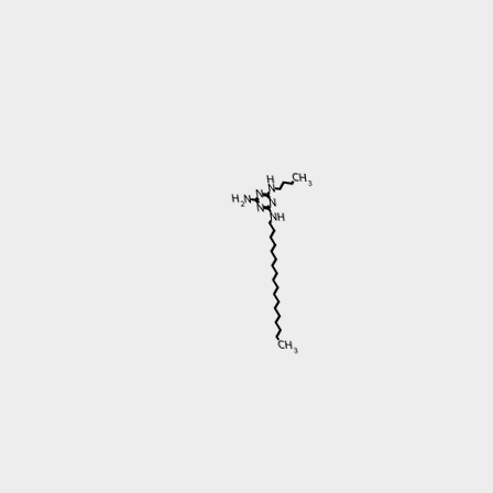 CCCCCCCCCCCCCCCCCCNc1nc(N)nc(NCCCC)n1